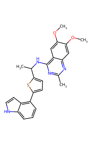 COc1cc2nc(C)nc(NC(C)c3ccc(-c4cccc5[nH]ccc45)s3)c2cc1OC